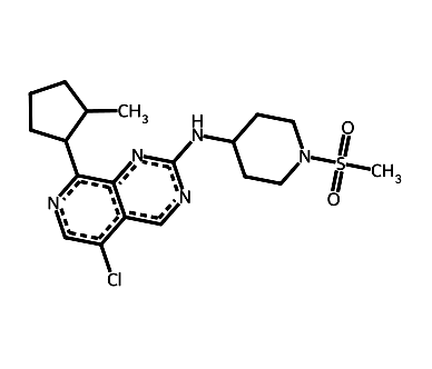 CC1CCCC1c1ncc(Cl)c2cnc(NC3CCN(S(C)(=O)=O)CC3)nc12